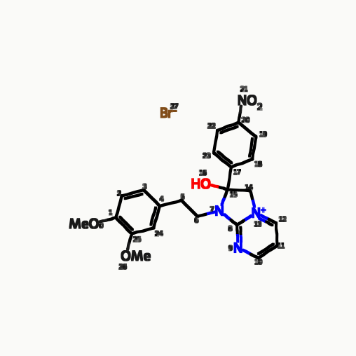 COc1ccc(CCN2c3nccc[n+]3CC2(O)c2ccc([N+](=O)[O-])cc2)cc1OC.[Br-]